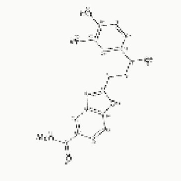 CCC(CCc1cc2cc(C(=O)OC)ccc2o1)c1ccc(O)c(C(C)C)c1